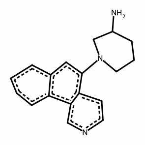 NC1CCCN(c2cc3ccccc3c3cnccc23)C1